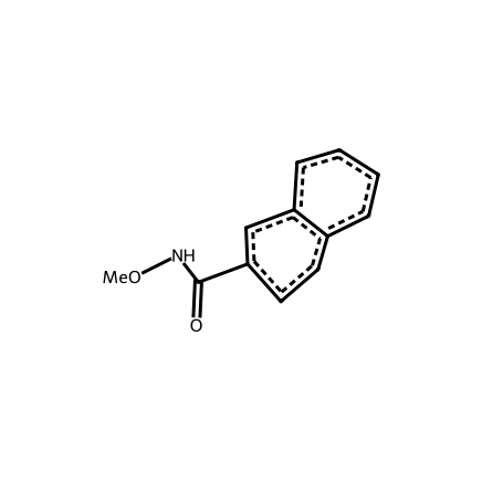 CONC(=O)c1ccc2ccccc2c1